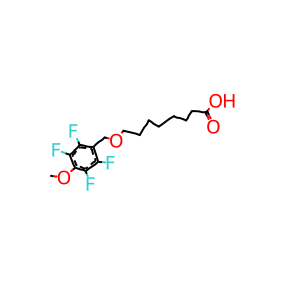 COc1c(F)c(F)c(COCCCCCCCC(=O)O)c(F)c1F